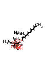 CCCCCCCCCCCCOC(=O)C(OCC)(C(OCC)C(=O)O)S(=O)(=O)O.[NaH].[NaH]